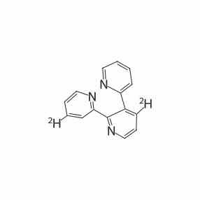 [2H]c1ccnc(-c2nccc([2H])c2-c2ccccn2)c1